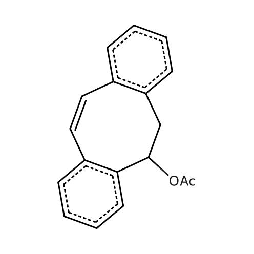 CC(=O)OC1Cc2ccccc2/C=C\c2ccccc21